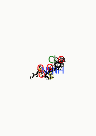 CCCCS(=O)(=O)Nc1ccsc1C(=O)Nc1ccc(OC)c(Cl)c1